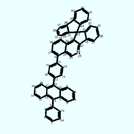 c1ccc(-c2c3ccccc3c(-c3ccc(-c4cccc5c6c(ncc45)-c4ccccc4C64c5ccccc5-c5ccccc54)cc3)c3ccccc23)cc1